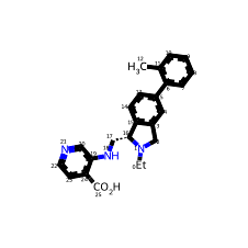 CCN1Cc2cc(-c3ccccc3C)ccc2[C@H]1CNc1cnccc1C(=O)O